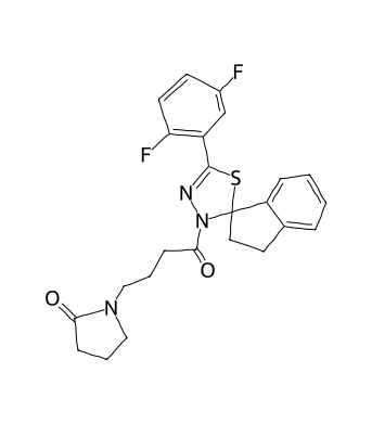 O=C1CCCN1CCCC(=O)N1N=C(c2cc(F)ccc2F)SC12CCc1ccccc12